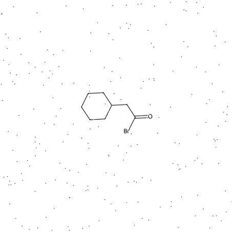 O=C(Br)CC1CCCCC1